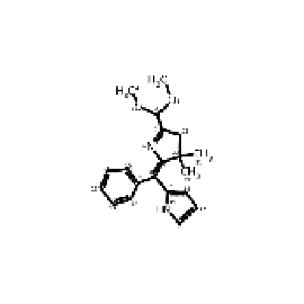 COC(OC)C1=N/C(=C(\c2ccccc2)c2ccc[nH]2)C(C)(C)C1